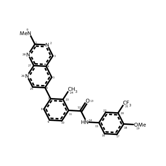 CNc1ncc2cc(-c3cccc(C(=O)Nc4ccc(OC)c(C(F)(F)F)c4)c3C)cnc2n1